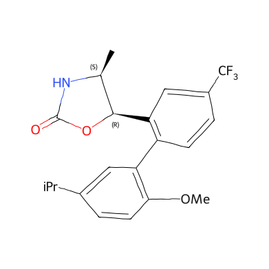 COc1ccc(C(C)C)cc1-c1ccc(C(F)(F)F)cc1[C@H]1OC(=O)N[C@H]1C